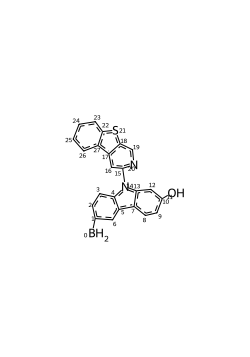 Bc1ccc2c(c1)c1ccc(O)cc1n2-c1cc2c(cn1)sc1ccccc12